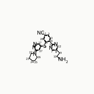 N#Cc1ccc(-c2ncc(CCN)cn2)c(Sc2cnnc(N3CCCCC3)c2)c1